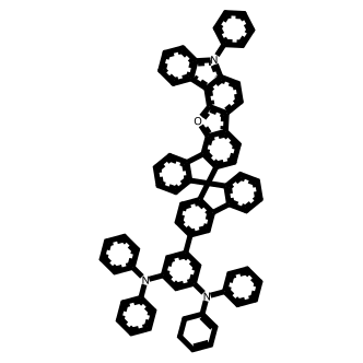 C1=CCCC(N(c2ccccc2)c2cc(-c3ccc4c(c3)-c3ccccc3C43c4ccccc4-c4c3ccc3c4oc4c3ccc3c4c4ccccc4n3-c3ccccc3)cc(N(c3ccccc3)c3ccccc3)c2)=C1